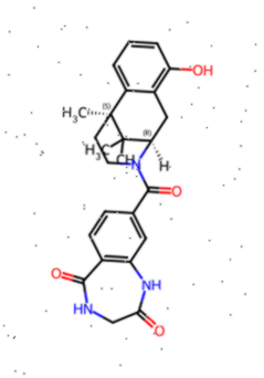 CC1(C)[C@H]2Cc3c(O)cccc3[C@]1(C)CCN2C(=O)c1ccc2c(c1)NC(=O)CNC2=O